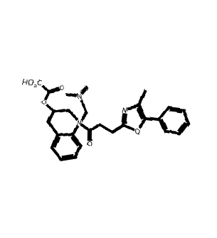 Cc1nc(CCC(=O)[N+]2(CN(C)C)CC(OC(=O)C(=O)O)Cc3ccccc32)oc1-c1ccccc1